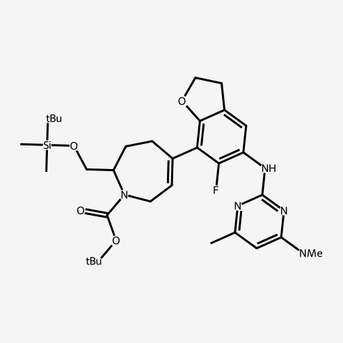 CNc1cc(C)nc(Nc2cc3c(c(C4=CCN(C(=O)OC(C)(C)C)C(CO[Si](C)(C)C(C)(C)C)CC4)c2F)OCC3)n1